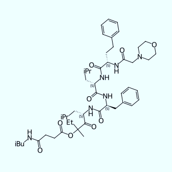 CCC(C)NC(=O)CCC(=O)OC(C)(CC)C(=O)[C@H](CC(C)C)NC(=O)[C@H](Cc1ccccc1)NC(=O)[C@H](CC(C)C)NC(=O)[C@H](CCc1ccccc1)NC(=O)CN1CCOCC1